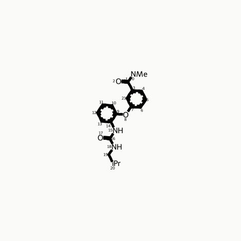 CNC(=O)c1cccc(Oc2ccccc2NC(=O)NCC(C)C)c1